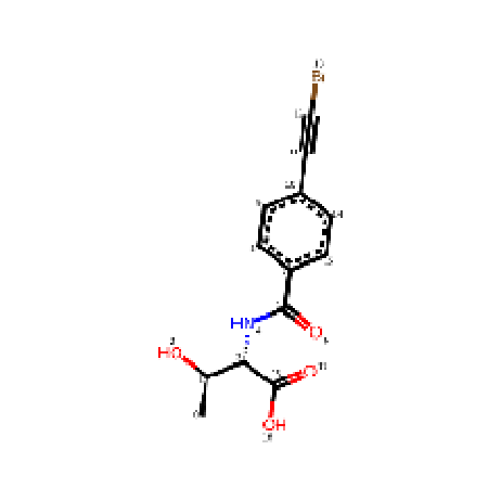 C[C@@H](O)[C@H](NC(=O)c1ccc(C#CBr)cc1)C(=O)O